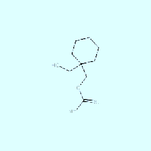 CCCC(=O)OCC1(CO)CCCCC1